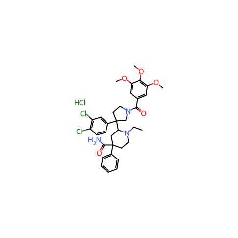 CCN1CCC(C(N)=O)(c2ccccc2)CC1C1(c2ccc(Cl)c(Cl)c2)CCN(C(=O)c2cc(OC)c(OC)c(OC)c2)C1.Cl